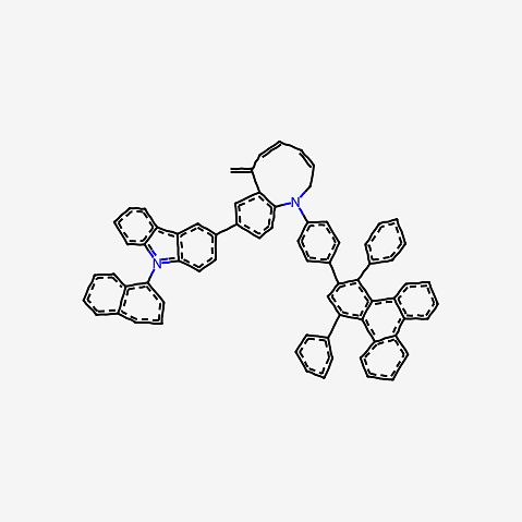 C=C1/C=C\C=C/CN(c2ccc(-c3cc(-c4ccccc4)c4c5ccccc5c5ccccc5c4c3-c3ccccc3)cc2)c2ccc(-c3ccc4c(c3)c3ccccc3n4-c3cccc4ccccc34)cc21